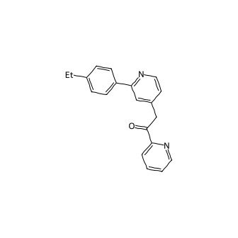 CCc1ccc(-c2cc(CC(=O)c3ccccn3)ccn2)cc1